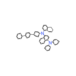 C1=Cc2c(cccc2N(c2ccc(-c3ccc(-c4ccccc4)cc3)cc2)c2ccc(N(c3ccccc3)c3ccccc3)c3ccccc23)CC1